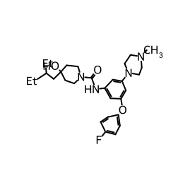 CCC(CC)CC1(O)CCN(C(=O)Nc2cc(Oc3ccc(F)cc3)cc(N3CCN(C)CC3)c2)CC1